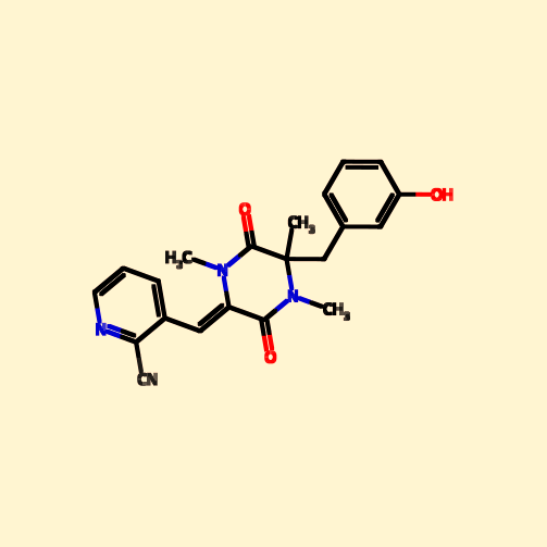 CN1C(=O)C(C)(Cc2cccc(O)c2)N(C)C(=O)C1=Cc1cccnc1C#N